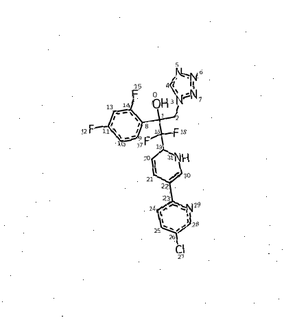 OC(Cn1cnnn1)(c1ccc(F)cc1F)C(F)(F)C1C=CC(c2ccc(Cl)cn2)=CN1